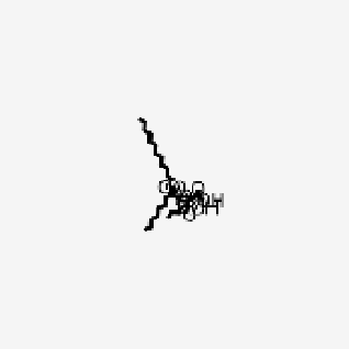 CCCCCCCCCCCCS(=O)(=O)C(CCCCCCC)C(C)OC(C(=O)O)P(=O)(O)OCCC